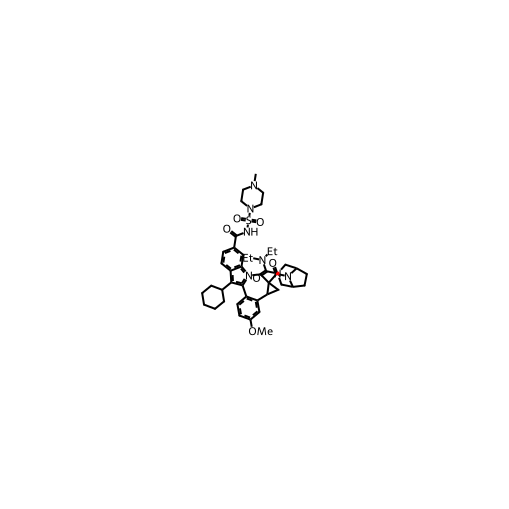 CCN(CC)C(=O)N1CC2CCC(C1)N2C(=O)C12CC1c1cc(OC)ccc1-c1c(C3CCCCC3)c3ccc(C(=O)NS(=O)(=O)N4CCN(C)CC4)cc3n1C2